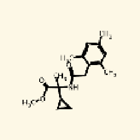 COC(=O)C(C)(NC(=O)Cc1c(C)cc(C)cc1C)C1CC1